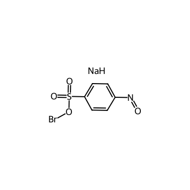 O=Nc1ccc(S(=O)(=O)OBr)cc1.[NaH]